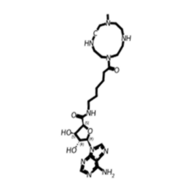 CN1CCNCCN(C(=O)CCCCCNC(=O)[C@H]2O[C@@H](n3cnc4c(N)ncnc43)[C@H](O)[C@@H]2O)CCNCC1